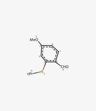 CCCSc1cc(OC)ccc1C=O